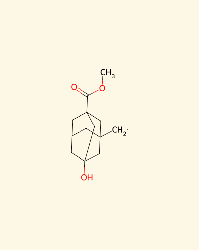 [CH2]C12CC3CC(O)(C1)CC(C(=O)OC)(C3)C2